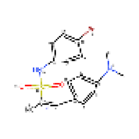 CN(C)c1ccc(/C=C(/C#N)S(=O)(=O)Nc2ccc(Br)cc2)cc1